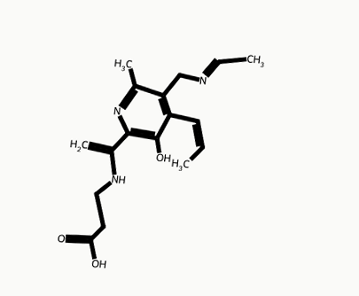 C=C(NCCC(=O)O)c1nc(C)c(C/N=C/C)c(/C=C\C)c1O